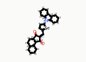 O=C1/C(=C\c2ccc(-n3c4ccccc4c4ccccc43)[se]2)C(=O)c2c1ccc1ccccc21